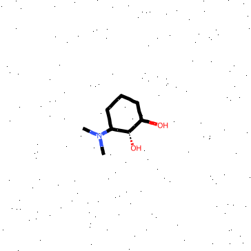 CN(C)C1CCCC(O)[C@@H]1O